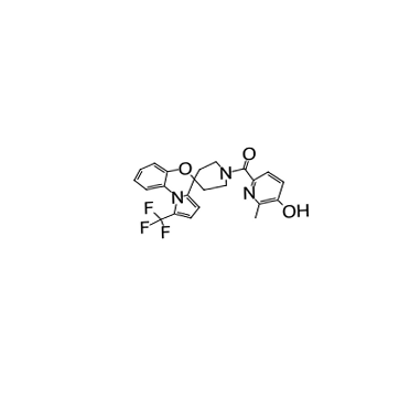 Cc1nc(C(=O)N2CCC3(CC2)Oc2ccccc2-n2c(C(F)(F)F)ccc23)ccc1O